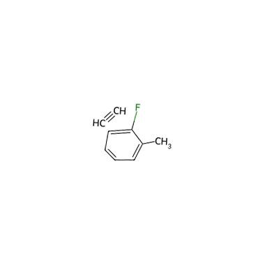 C#C.Cc1ccccc1F